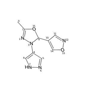 CC1=NN(c2cn[nH]c2)C(c2cnoc2)O1